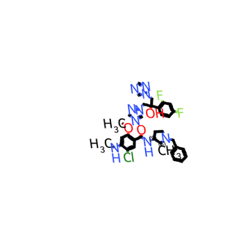 CNc1cc(OC)c(C(=O)N[C@H]2CCN(Cc3ccccc3)[C@H]2C)cc1Cl.OC(Cn1cncn1)(Cn1cncn1)c1ccc(F)cc1F